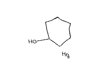 OC1CCCCC1.[Hg]